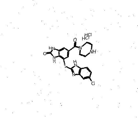 Cl.Cl.O=C(c1cc(Sc2nc3cc(Cl)ccc3[nH]2)c2[nH]c(=O)[nH]c2c1)N1CCNCC1